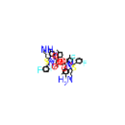 COC(CC(=O)[C@@](C)(CC(OC)(C(=O)N1N=C(c2cc(F)ccc2F)SC1(CCCN)c1cccc(C)c1)c1cccc(C)c1)OC)(C(=O)N1N=C(c2cc(F)ccc2F)SC1(CCCN)c1ccc(C)c(C)c1)c1ccc(C)c(C)c1